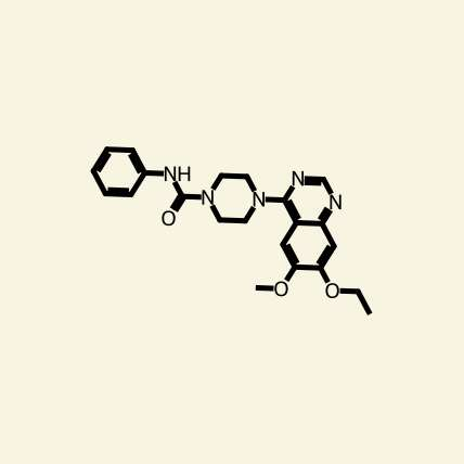 CCOc1cc2ncnc(N3CCN(C(=O)Nc4ccccc4)CC3)c2cc1OC